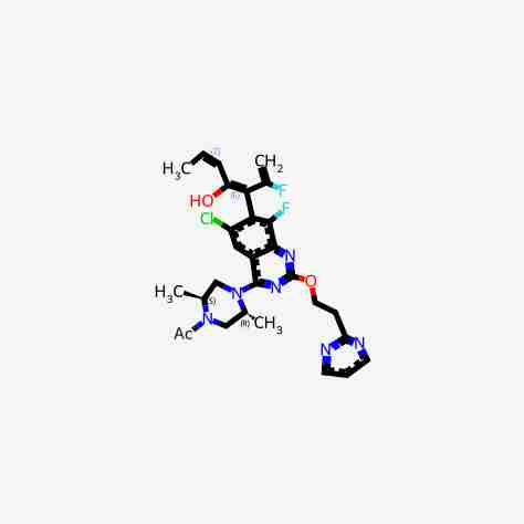 C=C(F)/C(=C(O)\C=C/C)c1c(Cl)cc2c(N3C[C@H](C)N(C(C)=O)C[C@H]3C)nc(OCCc3ncccn3)nc2c1F